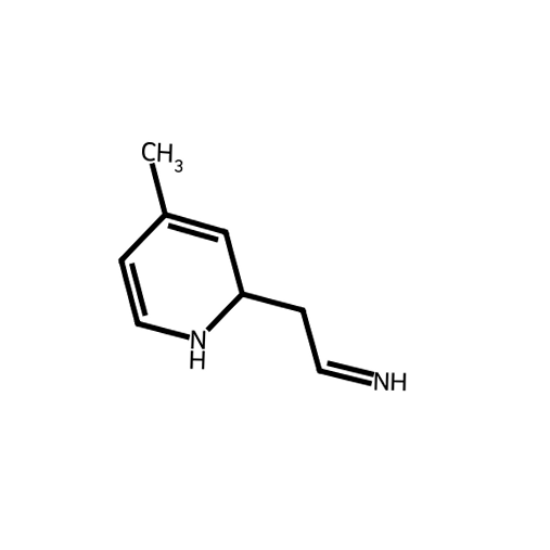 CC1=CC(CC=N)NC=C1